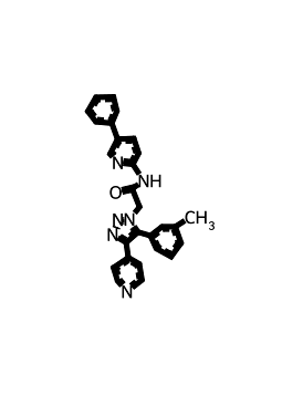 Cc1cccc(-c2c(-c3ccncc3)nnn2CC(=O)Nc2ccc(-c3ccccc3)cn2)c1